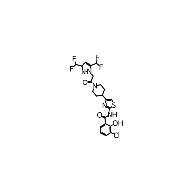 O=C(Nc1nc(C2CCN(C(=O)Cn3nc(C(F)F)cc3C(F)F)CC2)cs1)c1cccc(Cl)c1O